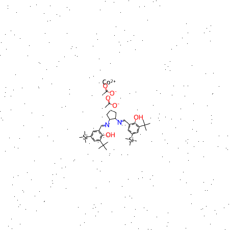 CC(=O)[O-].CC(=O)[O-].CC(C)(C)c1cc([Si](C)(C)C)cc(C=NC2CCCC2N=Cc2cc([Si](C)(C)C)cc(C(C)(C)C)c2O)c1O.[Co+2]